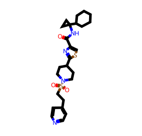 O=C(NC1(C2CCCCC2)CC1)c1csc(C2CCN(S(=O)(=O)CCc3ccncc3)CC2)n1